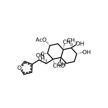 CC(=O)O[C@@H]1C[C@]2(C)[C@](O)(CC[C@@H](O)[C@]2(C)O)[C@@](C=O)(C[C@@H](O)c2ccoc2)[C@@H]1C